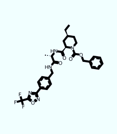 CC[C@H]1CCN(C(=O)OCc2ccccc2)[C@@H](C(=O)N[C@@H](C)C(=O)NCc2ccc(-c3noc(C(F)(F)F)n3)cc2)C1